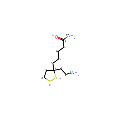 NCCC1(CCCCC(N)=O)CCSS1